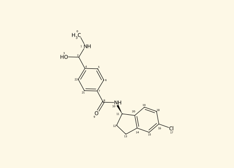 CNC(O)c1ccc(C(=O)N[C@@H]2CCc3cc(Cl)ccc32)cc1